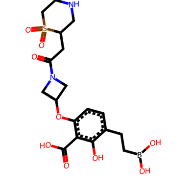 O=C(O)c1c(OC2CN(C(=O)CC3CNCCS3(=O)=O)C2)ccc(CCB(O)O)c1O